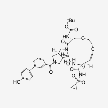 CC(C)(C)OC(=O)N[C@@H]1CCCCC/C=C\[C@H]2C[C@@]2(C(=O)NS(=O)(=O)C2CC2)NC(=O)[C@@H]2[C@H]3CN(C(=O)c4cccc(-c5ccc(O)cc5)c4)C[C@H]3CN2C1=O